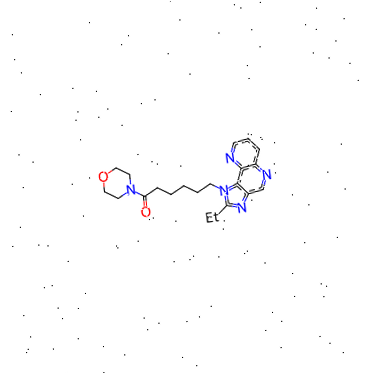 CCc1nc2cnc3cccnc3c2n1CCCCCC(=O)N1CCOCC1